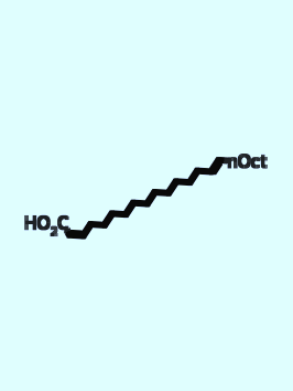 CCCCCCCCC=CCCCCCCCCCCC/C=C\C(=O)O